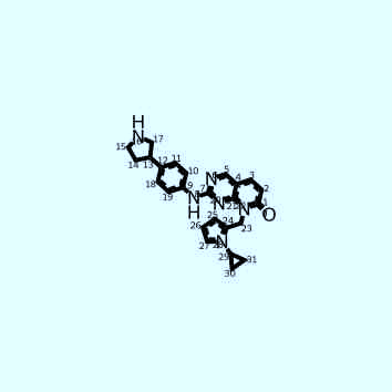 O=c1ccc2cnc(Nc3ccc(C4CCNC4)cc3)nc2n1Cc1cccn1C1CC1